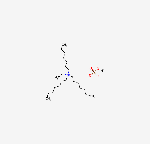 CCCCCCC[N+](CC)(CCCCCCC)CCCCCCC.O=S(=O)([O-])[O-].[H+]